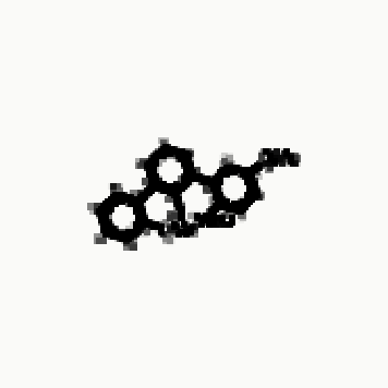 COc1ccc(OC)c(-c2cccc(-c3ccccc3OC)c2I)c1